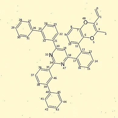 C=CC1=C(C)Oc2c(cccc2-c2ccccc2-c2cc(-c3cccc(-c4ccccc4)c3)nc(-c3cccc(-c4ccccc4)c3)n2)O1